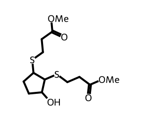 COC(=O)CCSC1CCC(O)C1SCCC(=O)OC